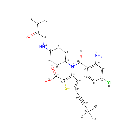 CC(C)C(=O)CNC1CCC(N(C(=O)c2ccc(Cl)cc2N)c2cc(C#CC(C)(C)C)sc2C(=O)O)CC1